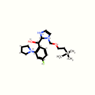 C[Si](C)(C)CCOCN1C=CNC1C(O)c1ccc(F)cc1N1CCCC1